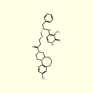 O=C(CCOC[C@H](Cc1cccnc1)Nc1cn[nH]c(=O)c1C(F)(F)F)N1CCN2c3ncc(C(F)(F)F)cc3OCCC2C1